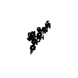 Cn1nc(-c2cscn2)cc1C(=O)N1C[C@@H]2C(Oc3cc(C4(N[S+]([O-])C(C)(C)C)CCC4)cc(-c4ccc(F)cc4)n3)[C@@H]2C1